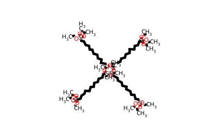 CCO[Si](CCCCCCCCCCCC[Si]1(C)O[Si](C)(CCCCCCCCCCCC[Si](OCC)(OCC)OCC)O[Si](C)(CCCCCCCCCCCC[Si](OCC)(OCC)OCC)O[Si](C)(CCCCCCCCCCCC[Si](OCC)(OCC)OCC)O1)(OCC)OCC